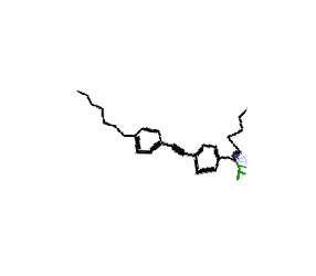 CCCC/C=C(/F)c1ccc(C#Cc2ccc(CCCCCCC)cc2)cc1